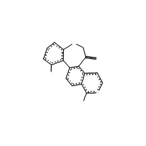 C=C1COc2cccc(F)c2-c2ccc3c(Cl)nccc3c21